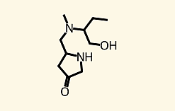 CCC(CO)N(C)CC1CC(=O)CN1